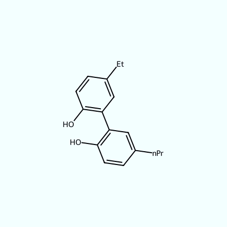 CCCc1ccc(O)c(-c2cc(CC)ccc2O)c1